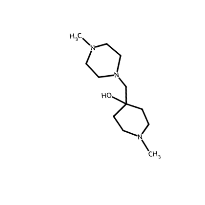 CN1CCN(CC2(O)CCN(C)CC2)CC1